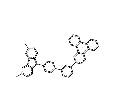 Cc1ccc2c(c1)c1cc(C)ccc1n2-c1ccc(-c2cccc(-c3ccc4c5ccccc5c5ccccc5c4c3)c2)cc1